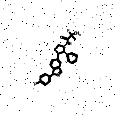 CC(F)(F)C(=O)N[C@H]1CSN(c2ccc3c(cnn3-c3ccc(F)cc3)c2)[C@@H]1c1ccccc1